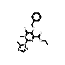 CCOC(=O)c1nc(-n2ncnc2C)n(C)c(=O)c1OCc1ccccc1